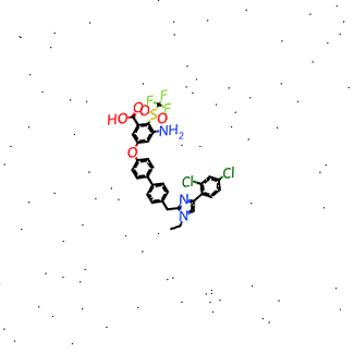 CCn1cc(-c2ccc(Cl)cc2Cl)nc1Cc1ccc(-c2ccc(Oc3cc(N)c(S(=O)(=O)C(F)(F)F)c(C(=O)O)c3)cc2)cc1